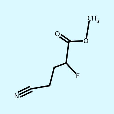 COC(=O)C(F)CCC#N